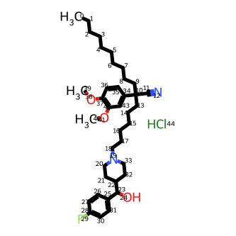 CCCCCCCCCCC(C#N)(CCCCCCN1CCC(C(O)c2ccc(F)cc2)CC1)c1ccc(OC)c(OC)c1.Cl